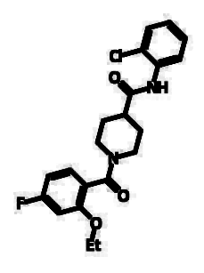 CCOc1cc(F)ccc1C(=O)N1CCC(C(=O)Nc2ccccc2Cl)CC1